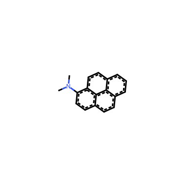 CN(C)c1ccc2ccc3cccc4ccc1c2c34